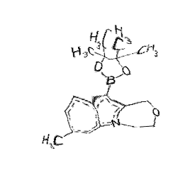 Cc1ccc2c(B3OC(C)(C)C(C)(C)O3)c3n(c2c1)CCOC3